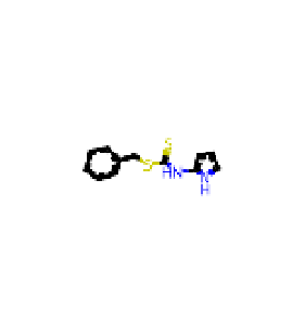 S=C(Nc1ccc[nH]1)SCc1ccccc1